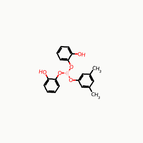 Cc1cc(C)cc(OB(Oc2ccccc2O)Oc2ccccc2O)c1